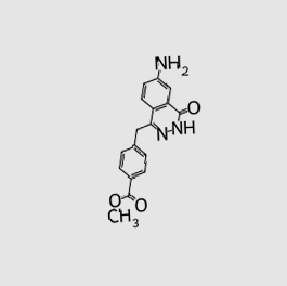 COC(=O)c1ccc(Cc2n[nH]c(=O)c3cc(N)ccc23)cc1